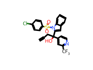 C#CCC(O)(c1ccnc(C(F)(F)F)c1)c1cc2ccccc2n1S(=O)(=O)c1ccc(Cl)cc1